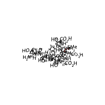 CSCC[C@H](NC(=O)[C@H](CCC(=O)O)NC(=O)[C@H](CC(=O)O)NC(=O)[C@H](CO)NC(=O)[C@H](Cc1ccccc1)NC(=O)[C@H](CO)NC(=O)CNC(=O)[C@H](CC(=O)O)NC(=O)CN)C(=O)N[C@@H](CC(N)=O)C(=O)N[C@H](C(=O)O)[C@@H](C)O